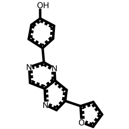 Oc1ccc(-c2ncc3ncc(-c4ccco4)cc3n2)cc1